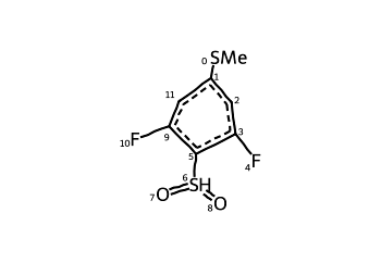 CSc1cc(F)c([SH](=O)=O)c(F)c1